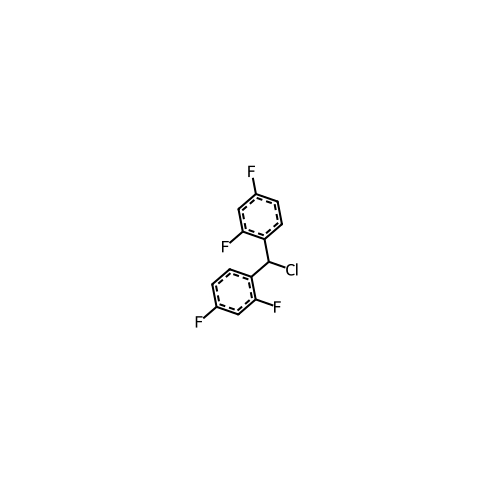 Fc1ccc(C(Cl)c2ccc(F)cc2F)c(F)c1